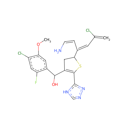 C=C(Cl)/C=C(\C=C/N)C1CC(C(O)c2cc(OC)c(Cl)cc2F)=C(c2nnc[nH]2)S1